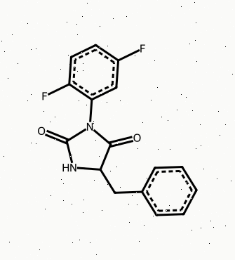 O=C1NC(Cc2ccccc2)C(=O)N1c1cc(F)ccc1F